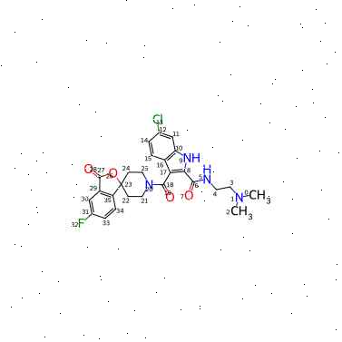 CN(C)CCNC(=O)c1[nH]c2cc(Cl)ccc2c1C(=O)N1CCC2(CC1)OC(=O)c1cc(F)ccc12